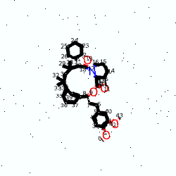 COc1ccc(CC[C@@H]2OC(=O)[C@@H]3CCCCN3C(=O)[C@@H](C3CCCCC3)C(C)(C)CC(C)(C)c3cccc2c3)cc1OC